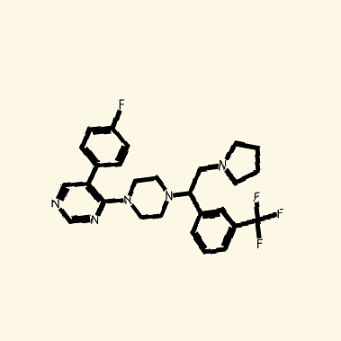 Fc1ccc(-c2[c]ncnc2N2CCN(C(CN3CCCC3)c3cccc(C(F)(F)F)c3)CC2)cc1